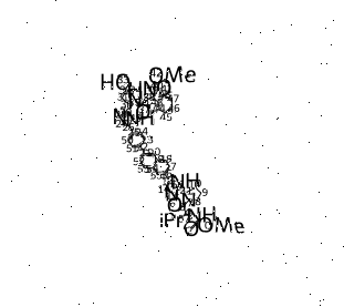 COC(=O)N[C@H](C(=O)N1CCC[C@H]1c1ncc(-c2ccc3cc(-c4ccc(-c5cnc([C@@H]6C[C@H](O)CN6C(=O)[C@H](NC(=O)OC)c6ccccc6)[nH]5)cc4)ccc3c2)[nH]1)C(C)C